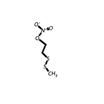 CSSCCO[N+](=O)[O-]